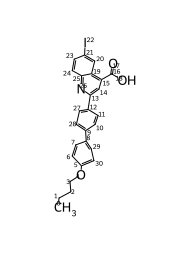 CCCCOc1ccc(-c2ccc(-c3cc(C(=O)O)c4cc(I)ccc4n3)cc2)cc1